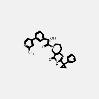 O=C([C@@H](O)c1cccc(-c2ccnc(C(F)(F)F)c2)c1)N1CCCc2nc(C3(c4ccccc4)CC3)[nH]c(=O)c2C1